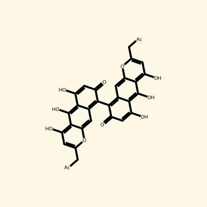 CC(=O)Cc1cc(O)c2c(O)c3c(O)cc(=O)c(-c4c(=O)cc(O)c5c(O)c6c(O)cc(CC(C)=O)oc6cc45)c3cc2o1